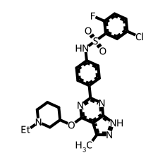 CCN1CCCC(Oc2nc(-c3ccc(NS(=O)(=O)c4cc(Cl)ccc4F)cc3)nc3[nH]nc(C)c23)C1